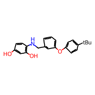 CC(C)(C)c1ccc(Oc2cccc(CNc3ccc(O)cc3O)c2)cc1